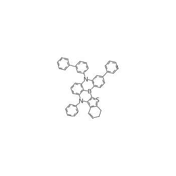 C1=Cc2c(sc3c2N(c2ccccc2)c2cccc4c2B3c2ccc(-c3ccccc3)cc2N4c2cccc(-c3ccccc3)c2)CC1